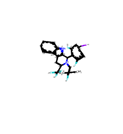 CC(C)(F)CN1C(c2c(F)cc(I)cc2F)c2[nH]c3ccccc3c2CC1C(F)(F)F